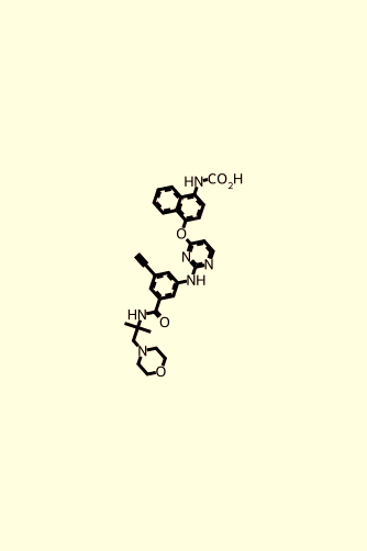 C#Cc1cc(Nc2nccc(Oc3ccc(NC(=O)O)c4ccccc34)n2)cc(C(=O)NC(C)(C)CN2CCOCC2)c1